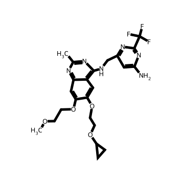 COCCOc1cc2nc(C)nc(NCc3cc(N)nc(C(F)(F)F)n3)c2cc1OCCOC1CC1